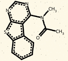 CC(=O)N(C)c1ncnc2sc3ccccc3c12